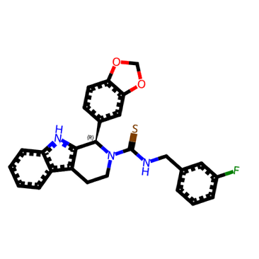 Fc1cccc(CNC(=S)N2CCc3c([nH]c4ccccc34)[C@H]2c2ccc3c(c2)OCO3)c1